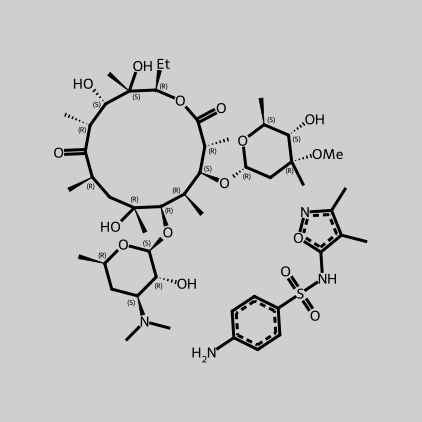 CC[C@H]1OC(=O)[C@H](C)[C@@H](O[C@H]2C[C@@](C)(OC)[C@@H](O)[C@H](C)O2)[C@@H](C)[C@@H](O[C@@H]2O[C@H](C)C[C@H](N(C)C)[C@H]2O)[C@](C)(O)C[C@@H](C)C(=O)[C@H](C)[C@H](O)[C@]1(C)O.Cc1noc(NS(=O)(=O)c2ccc(N)cc2)c1C